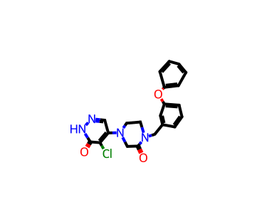 O=C1CN(c2cn[nH]c(=O)c2Cl)CCN1Cc1cccc(Oc2ccccc2)c1